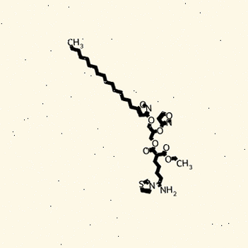 CCCCCCCCCCCCCCCCc1cc(OCC(COC(=O)C(CCCCC(N)[n+]2ccsc2)C(=O)OCC)Oc2ccon2)no1